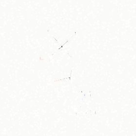 CCOC(=O)NC(=O)CC1(O)CCC1